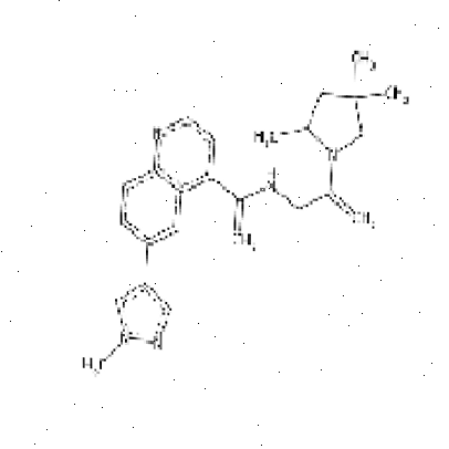 C=C(NCC(=C)N1CC(C)(C)CC1C)c1ccnc2ccc(-c3cnn(C)c3)cc12